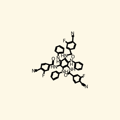 N#Cc1ccc(C(=O)Nc2c(Nc3ccccc3)c(NC(=O)c3ccc(C#N)c(F)c3)c(Nc3ccccc3)c(NC(=O)c3ccc(C#N)c(F)c3)c2Nc2ccccc2)cc1F